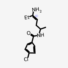 CC/C(N)=C\CC(C)NC(=O)c1ccc(Cl)cc1